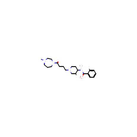 COc1ccccc1C(=O)NC1CCN(CCCC(=O)N2CCCN(C)CC2)CC1OC